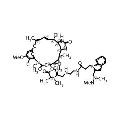 CNN(C)Cc1cc2ccccc2n1CCC(=O)NCCNCC(=O)N(C)[C@@H](C)C(=O)O[C@H]1CC(=O)N(C)c2cc(cc(OC)c2Cl)C/C(C)=C/C=C/[C@@H](O)[C@@]2(O)C[C@H](OC(=O)N2)[C@@H](C)C2O[C@]21C